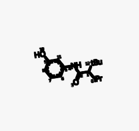 CC(C)C(C(=O)Nc1cccc(O)c1)C(C)(C)C